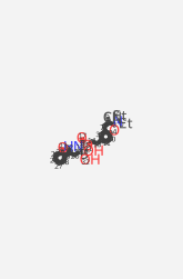 CCN(CC)C(=O)C(C#N)=Cc1cccc(CCOC(=O)NC(Cc2coc3ccccc23)B(O)O)c1